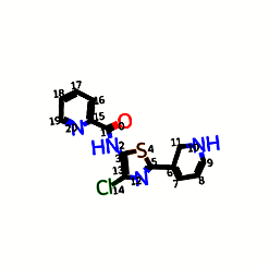 O=C(Nc1sc(C2=CC=CNC2)nc1Cl)c1ccccn1